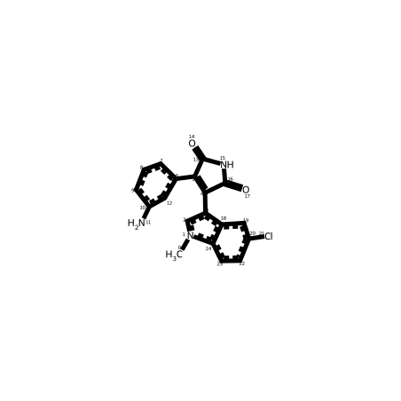 Cn1cc(C2=C(c3cccc(N)c3)C(=O)NC2=O)c2cc(Cl)ccc21